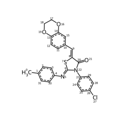 Cc1ccc(/N=C2\S/C(=C\c3ccc4c(c3)OCCO4)C(=O)N2c2ccc(Cl)cc2)cc1